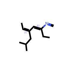 C=N/C(=C/C(=C\C)CC(C)C)CC